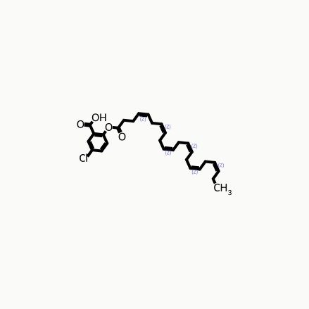 CC/C=C\C/C=C\C/C=C\C/C=C\C/C=C\C/C=C\CCC(=O)Oc1ccc(Cl)cc1C(=O)O